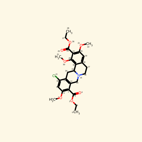 CCOC(=O)c1c(OC)cc(Cl)c2c1CN1CCc3cc(OC)c(C(=O)OCC)c(OC)c3C1C2